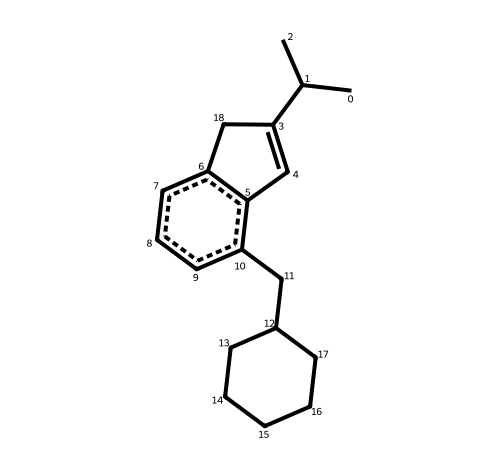 CC(C)C1=Cc2c(cccc2CC2CCCCC2)C1